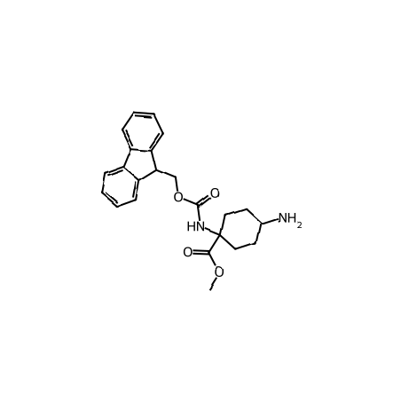 COC(=O)C1(NC(=O)OCC2c3ccccc3-c3ccccc32)CCC(N)CC1